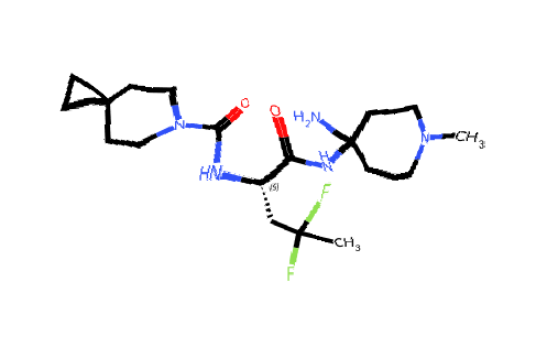 CN1CCC(N)(NC(=O)[C@H](CC(C)(F)F)NC(=O)N2CCC3(CC2)CC3)CC1